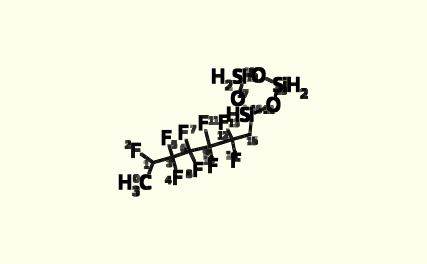 CC(F)C(F)(F)C(F)(F)C(F)(F)C(F)(F)C[SiH]1O[SiH2]O[SiH2]O1